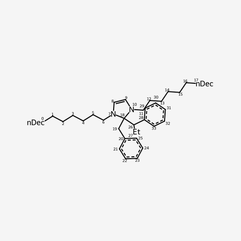 CCCCCCCCCCCCCCCCN1C=CN(CCCCCCCCCCCCCCCC)C1(Cc1ccccc1)C(CC)c1ccccc1